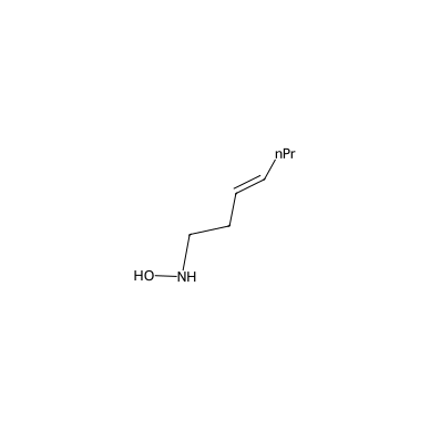 CCCC=CCCNO